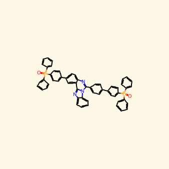 O=P(c1ccccc1)(c1ccccc1)c1ccc(-c2ccc(-c3nc4ccc(-c5ccc(P(=O)(c6ccccc6)c6ccccc6)cc5)cc4c4nc5ccccc5n34)cc2)cc1